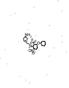 CN(CCN1CC[C@@H](N)C1)c1c([N+](=O)[O-])ccc(Oc2ccccc2)c1C(F)(F)F